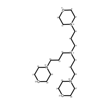 C(CN(CCCN1CCOCC1)CCCN1CCOCC1)CN1CCOCC1